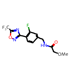 COCC(=O)NCc1ccc(-c2noc(C(F)(F)F)n2)c(F)c1